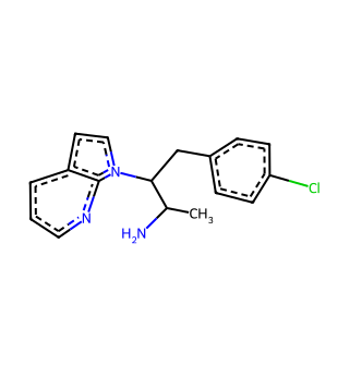 CC(N)C(Cc1ccc(Cl)cc1)n1ccc2cccnc21